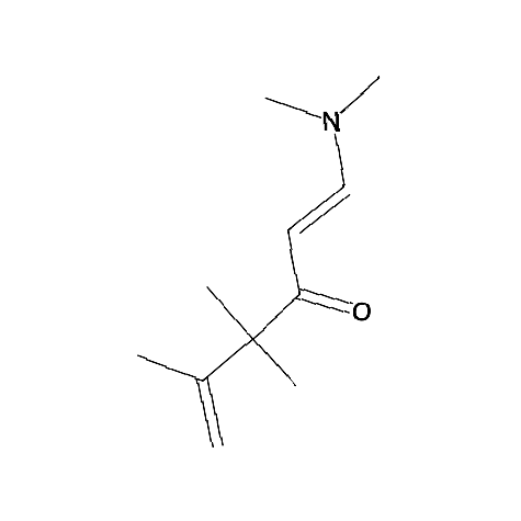 C=C(C)C(C)(C)C(=O)/C=C/N(C)C